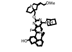 C#Cc1cccc2cc(O)cc(-c3ncc4c(N5CC6CCC(C5)N6)nc(OCC56CCCN5CC(=CCOC)C6)nc4c3F)c12